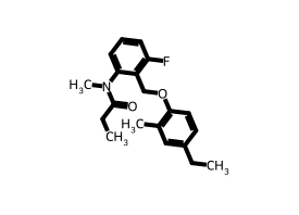 CCC(=O)N(C)c1cccc(F)c1COc1ccc(CC)cc1C